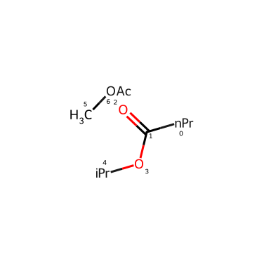 CCCC(=O)OC(C)C.COC(C)=O